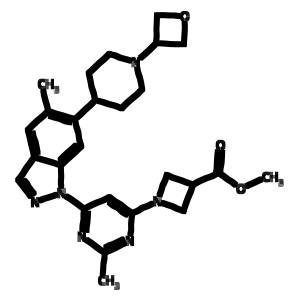 COC(=O)C1CN(c2cc(-n3ncc4cc(C)c(C5CCN(C6COC6)CC5)cc43)nc(C)n2)C1